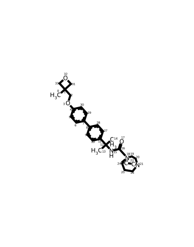 CC1(COc2ccc(-c3ccc(C(C)(C)NC(=O)N4CCN5CCC4CC5)cc3)cc2)COC1